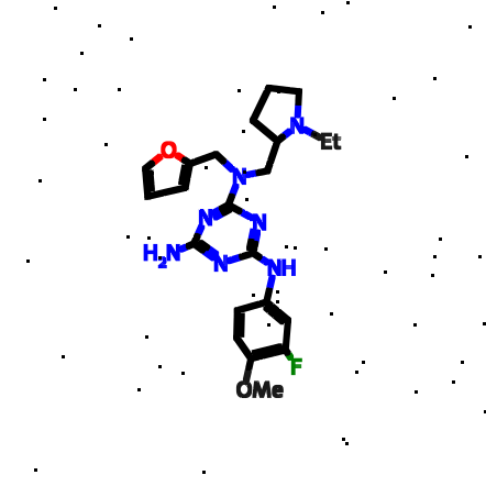 CCN1CCCC1CN(Cc1ccco1)c1nc(N)nc(Nc2ccc(OC)c(F)c2)n1